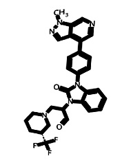 Cn1ncc2c(-c3ccc(-n4c(=O)n(C(C=O)CN5CCC[C@@H](C(F)(F)F)C5)c5ccccc54)cc3)cncc21